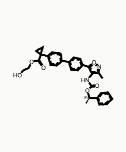 Cc1noc(-c2ccc(-c3ccc(C4(C(=O)OCCO)CC4)cc3)cc2)c1NC(=O)O[C@H](C)c1ccccc1